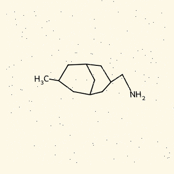 CC1CC2CC(CN)CC(C1)C2